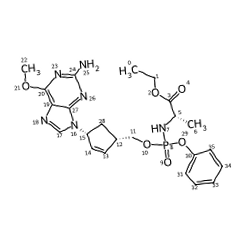 CCOC(=O)[C@H](C)NP(=O)(OC[C@@H]1C=C[C@H](n2cnc3c(OC)nc(N)nc32)C1)Oc1ccccc1